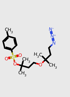 Cc1ccc(S(=O)(=O)OC(C)(C)CCOC(C)(C)CCN=[N+]=[N-])cc1